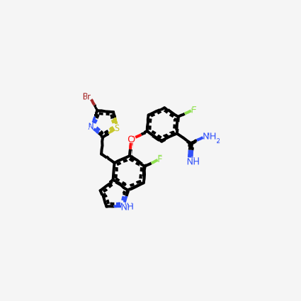 N=C(N)c1cc(Oc2c(F)cc3[nH]ccc3c2Cc2nc(Br)cs2)ccc1F